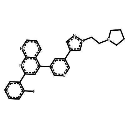 Fc1ccccc1-c1cc(-c2cncc(-c3cnn(CCN4CCCC4)c3)c2)c2cccnc2n1